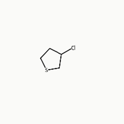 ClC1CCSC1